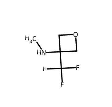 CNC1(C(F)(F)F)COC1